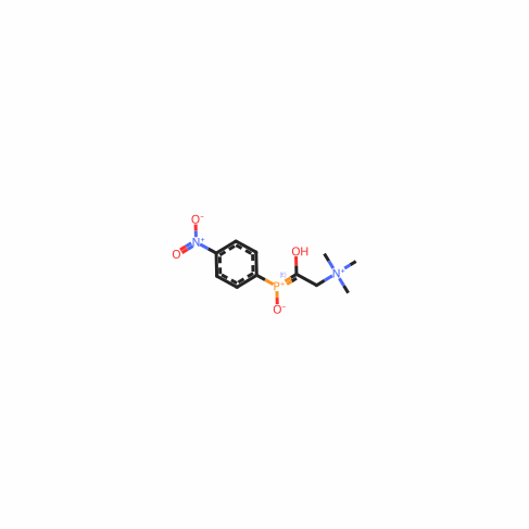 C[N+](C)(C)C/C(O)=[P+](\[O-])c1ccc([N+](=O)[O-])cc1